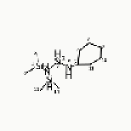 C[SiH](C)N([SiH2]NC1CCCCC1)[SiH](C)C